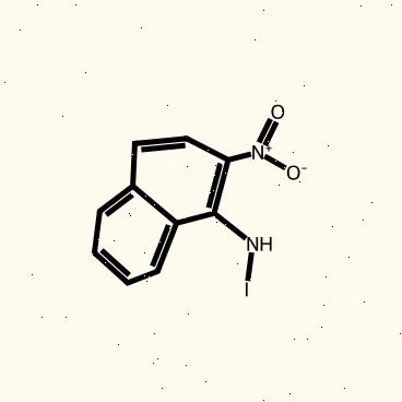 O=[N+]([O-])c1ccc2ccccc2c1NI